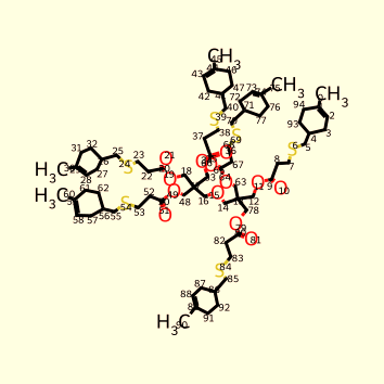 CC1=CCC(CSCCC(=O)OCC(COCC(COC(=O)CCSCC2CC=C(C)CC2)(COC(=O)CCSCC2CC=C(C)CC2)COC(=O)CCSCC2CC=C(C)CC2)(COC(=O)CCSCC2CC=C(C)CC2)COC(=O)CCSCC2CC=C(C)CC2)CC1